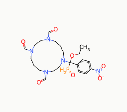 CCOC([PH2]=O)(c1ccc([N+](=O)[O-])cc1)N1CCCN(C=O)CCN(C=O)CCCN(C=O)CC1